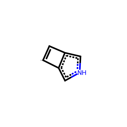 [C]1=Cc2c[nH]cc21